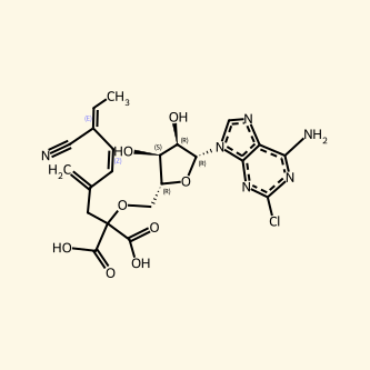 C=C(/C=C\C(C#N)=C/C)CC(OC[C@H]1O[C@@H](n2cnc3c(N)nc(Cl)nc32)[C@H](O)[C@@H]1O)(C(=O)O)C(=O)O